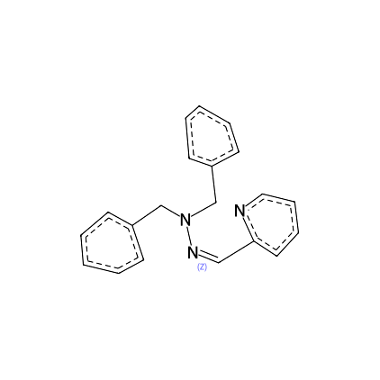 C(=N/N(Cc1ccccc1)Cc1ccccc1)/c1ccccn1